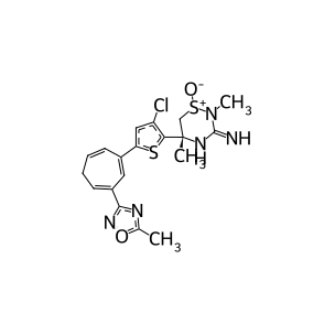 Cc1nc(C2=CCC=CC(c3cc(Cl)c([C@]4(C)C[S+]([O-])N(C)C(=N)N4)s3)=C2)no1